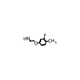 Cc1ccc(OCC=N)cc1F